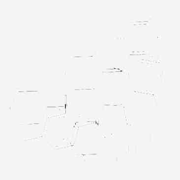 Cc1cc(C)c(N2CCN(c3c(C)cc(C)cc3C)C2=C2C(=Cc3ccccc3)CCCC2P(C2CCCCC2)C2CCCCC2)c(C)c1.[Cl][Ru][Cl]